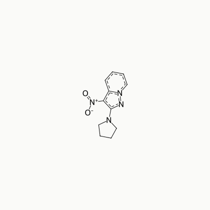 O=[N+]([O-])c1c(N2CCCC2)nn2ccccc12